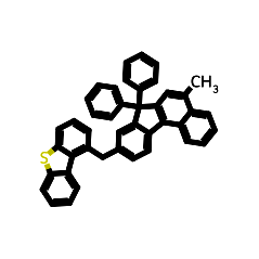 Cc1cc2c(c3ccccc13)-c1ccc(Cc3cccc4sc5ccccc5c34)cc1C2(c1ccccc1)c1ccccc1